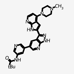 CN1CCN(c2ccnc3[nH]c(-c4n[nH]c5ncc(-c6cncc(NC(=O)C(C)(C)C)c6)cc45)cc23)CC1